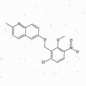 COc1c([N+](=O)[O-])ccc(Cl)c1COc1ccc2nc(C)ccc2c1